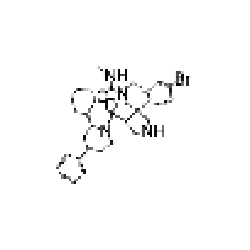 CNC(=O)N1Cc2cc(Br)ccc2[C@@]2(CNCC2C(=O)N2CC[C@@H](c3ccccc3)C[C@H]2C2CCCCC2)C1